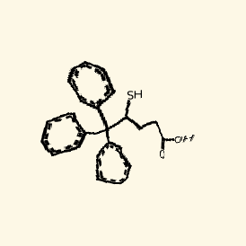 O=C(O)CCC(S)C(c1ccccc1)(c1ccccc1)c1ccccc1